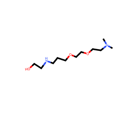 CN(C)CCOCCOCCCNCCO